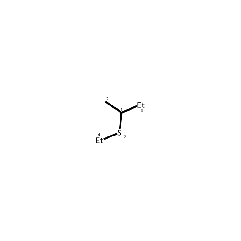 [CH2]CC(C)SCC